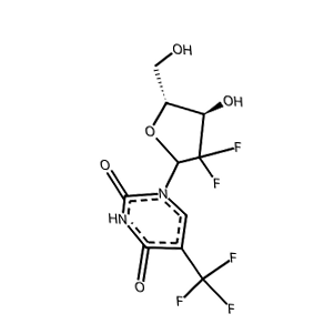 O=c1[nH]c(=O)n(C2O[C@H](CO)[C@@H](O)C2(F)F)cc1C(F)(F)F